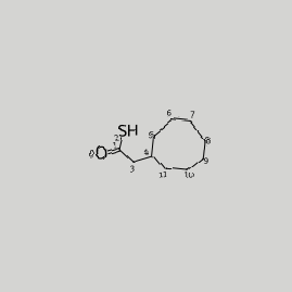 O=C(S)CC1CCCCCCC1